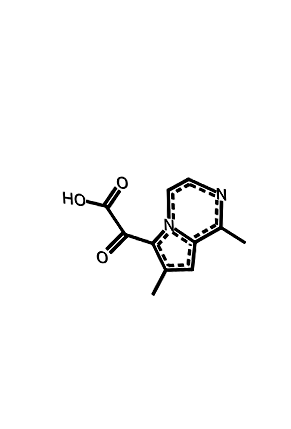 Cc1cc2c(C)nccn2c1C(=O)C(=O)O